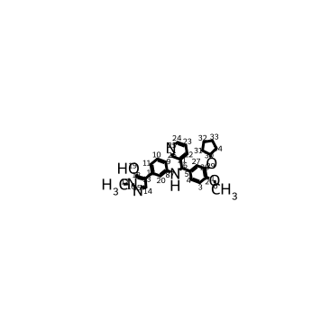 COc1ccc(C(Nc2cccc(-c3cnn(C)c3O)c2)c2cccnc2)cc1OC1CCCC1